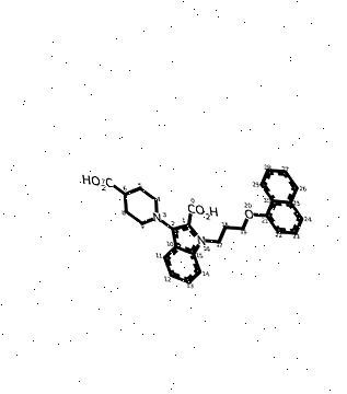 O=C(O)c1c(N2CCC(C(=O)O)CC2)c2ccccc2n1CCCOc1cccc2ccccc12